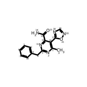 Cc1nc(Cc2ccccc2)nc(C(N)=O)c1-c1ncno1